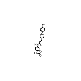 O=C(/C=C/C1CCN(c2ccc(C(F)(F)F)cc2)CC1)Nc1ccc2[nH]c(=O)oc2c1